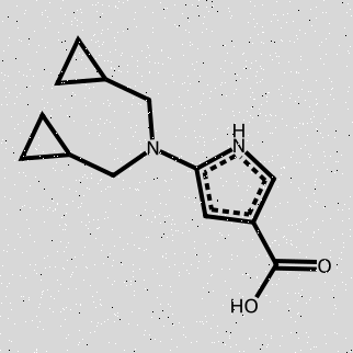 O=C(O)c1c[nH]c(N(CC2CC2)CC2CC2)c1